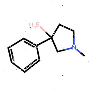 BC1(c2ccccc2)CCN(C)C1